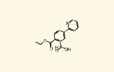 CCOC(=O)c1ccc(-c2ccccn2)cc1B(O)O